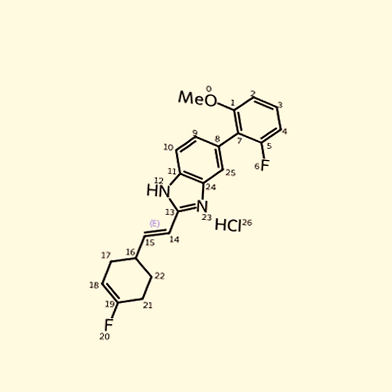 COc1cccc(F)c1-c1ccc2[nH]c(/C=C/C3CC=C(F)CC3)nc2c1.Cl